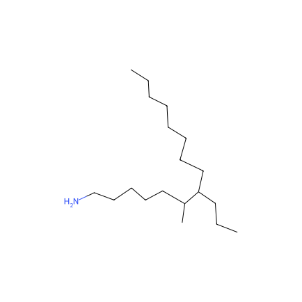 CCCCCCCCC(CCC)C(C)CCCCCN